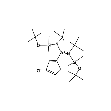 CC(C)(C)O[Si](C)(C)[N]([Zr+]([C]1=CC=CC1)[N](C(C)(C)C)[Si](C)(C)OC(C)(C)C)C(C)(C)C.[Cl-]